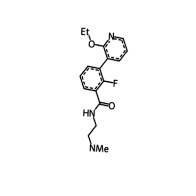 CCOc1ncccc1-c1cccc(C(=O)NCCNC)c1F